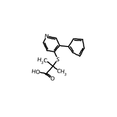 CC(C)(Sc1ccncc1-c1ccccc1)C(=O)O